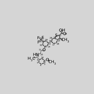 COc1cccc([C@@H](C)NCCOc2cc(-c3ccc4c(C)c(C(=O)O)sc4c3)cc(C(F)(F)F)c2)c1